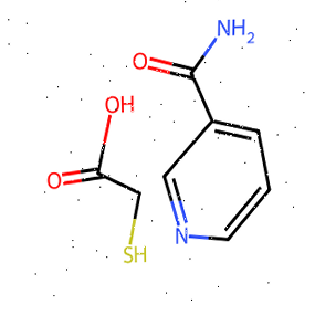 NC(=O)c1cccnc1.O=C(O)CS